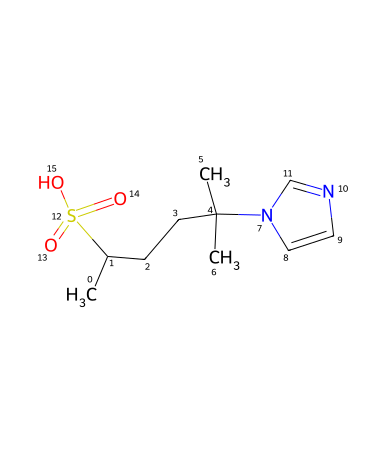 CC(CCC(C)(C)n1ccnc1)S(=O)(=O)O